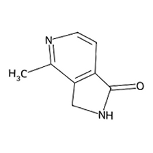 Cc1nccc2c1CNC2=O